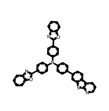 c1ccc2oc(-c3ccc(N(c4ccc(-c5ccc6c(c5)sc5ncccc56)cc4)c4ccc(-c5nc6ccccc6o5)cc4)cc3)nc2c1